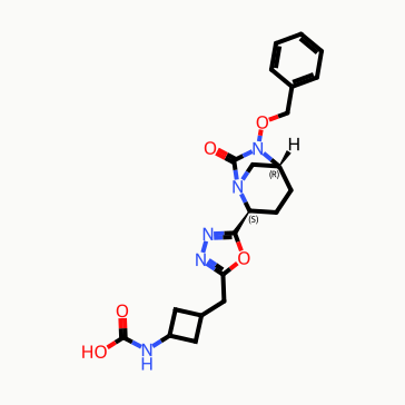 O=C(O)NC1CC(Cc2nnc([C@@H]3CC[C@@H]4CN3C(=O)N4OCc3ccccc3)o2)C1